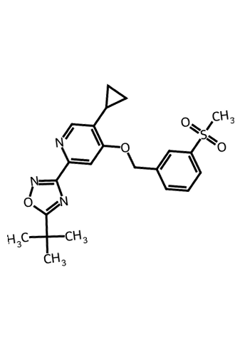 CC(C)(C)c1nc(-c2cc(OCc3cccc(S(C)(=O)=O)c3)c(C3CC3)cn2)no1